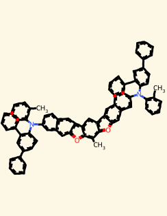 Cc1ccccc1N(c1ccc2cc3c(cc2c1)oc1c(C)c2oc4cc5cc(N(c6ccccc6C)c6ccc(-c7ccccc7)cc6-c6ccccc6)ccc5cc4c2cc13)c1ccc(-c2ccccc2)cc1-c1ccccc1